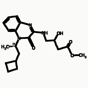 COC(=O)CC(O)CNc1nc2ccccc2n([C@@H](C)CC2CCC2)c1=O